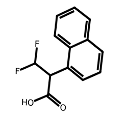 O=C(O)C(c1cccc2ccccc12)C(F)F